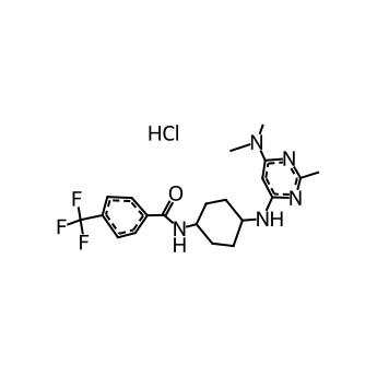 Cc1nc(NC2CCC(NC(=O)c3ccc(C(F)(F)F)cc3)CC2)cc(N(C)C)n1.Cl